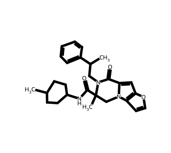 CC1CCC(NC(=O)C2(C)Cn3c(cc4occc43)C(=O)N2CC(C)c2ccccc2)CC1